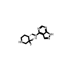 FC1(F)CNCC[C@@H]1CNc1ncnc2[nH]ncc12